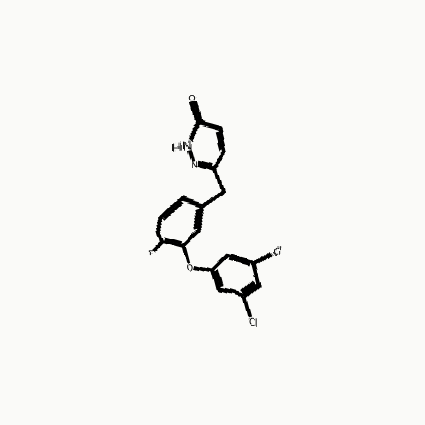 O=c1ccc(Cc2ccc(F)c(Oc3cc(Cl)cc(Cl)c3)c2)n[nH]1